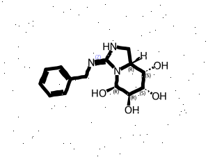 O[C@@H]1[C@@H](O)[C@@H](O)N2/C(=N\Cc3ccccc3)NC[C@@H]2[C@@H]1O